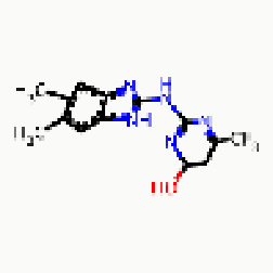 Cc1cc2nc(NC3=NC(O)CC(C(F)(F)F)=N3)[nH]c2cc1C